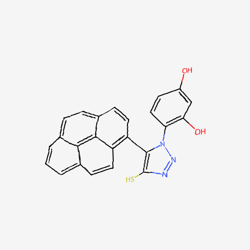 Oc1ccc(-n2nnc(S)c2-c2ccc3ccc4cccc5ccc2c3c45)c(O)c1